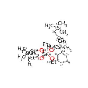 C=C[Si](C)(C)C.CCO[Si](OCC)(OCC)OCC.C[Si](C)(C)C.C[Si](C)(C)c1ccccc1